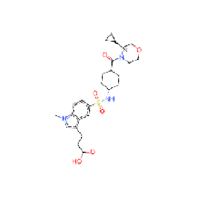 Cn1cc(CCC(=O)O)c2cc(S(=O)(=O)N[C@H]3CC[C@H](C(=O)N4CCOC[C@@H]4C4CC4)CC3)ccc21